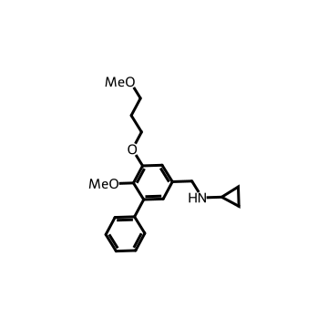 COCCCOc1cc(CNC2CC2)cc(-c2ccccc2)c1OC